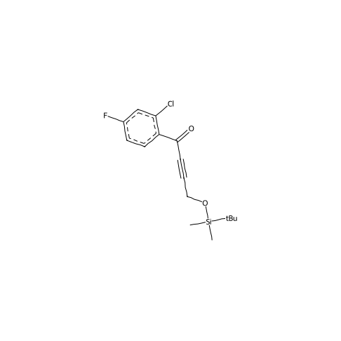 CC(C)(C)[Si](C)(C)OCC#CC(=O)c1ccc(F)cc1Cl